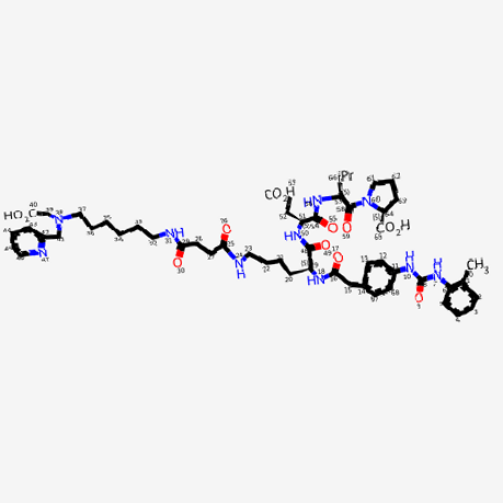 Cc1ccccc1NC(=O)Nc1ccc(CC(=O)N[C@@H](CCCCNC(=O)CCC(=O)NCCCCCCN(CC(=O)O)Cc2ccccn2)C(=O)N[C@@H](CC(=O)O)C(=O)N[C@H](C(=O)N2CCC[C@H]2C(=O)O)C(C)C)cc1